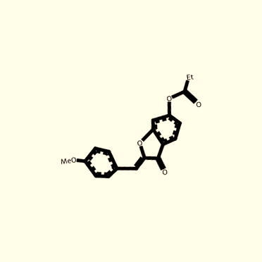 CCC(=O)Oc1ccc2c(c1)OC(=Cc1ccc(OC)cc1)C2=O